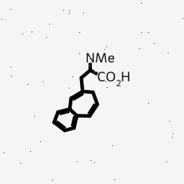 CNC(CC1=Cc2ccccc2C=CC1)C(=O)O